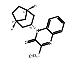 CCOC(=O)c1nc2ccccc2n([C@@H]2C[C@@H]3CC[C@@H](C3)C2)c1=O